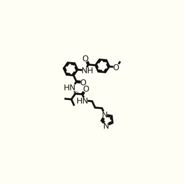 COc1ccc(C(=O)Nc2ccccc2C(=O)N[C@H](C(=O)NCCCn2ccnc2)C(C)C)cc1